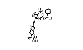 CC(OC(=O)Nc1c(C#Cc2cc3sc(C4(C(=O)O)CC4)cc3s2)noc1N)c1ccccc1